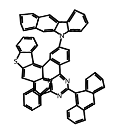 c1ccc(-c2nc(-c3ccc(-n4c5ccccc5c5cc6ccccc6cc54)cc3-c3c4ccccc4cc4sc5ccccc5c34)nc(-c3c4ccccc4cc4ccccc34)n2)cc1